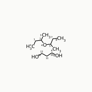 CCC(C)OC(C)CC.OCCCO